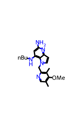 CCCCNc1cc(N)nc2ccn(Cc3ncc(C)c(OC)c3C)c12